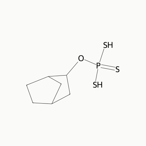 S=P(S)(S)OC1CC2CCC1C2